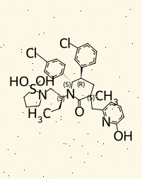 CC[C@@H](CN1CCCS1(O)O)N1C(=O)[C@](C)(Cc2cccc(O)n2)C[C@H](c2cccc(Cl)c2)[C@H]1c1ccc(Cl)cc1